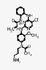 C=CC(=O)Nc1ccccc1Nc1nc(Nc2ccc(N(CCCN)C(C)=O)cc2OC)ncc1Cl